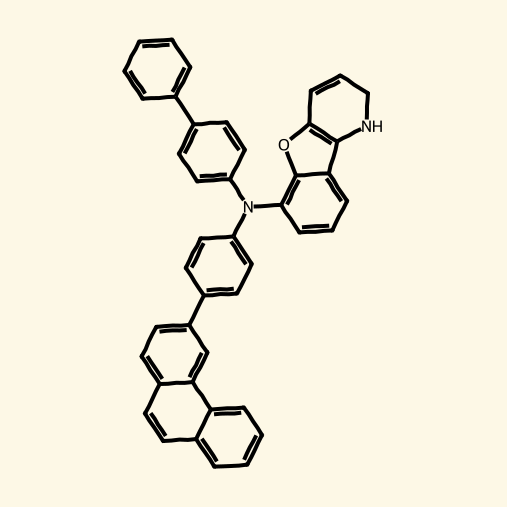 C1=Cc2oc3c(N(c4ccc(-c5ccccc5)cc4)c4ccc(-c5ccc6ccc7ccccc7c6c5)cc4)cccc3c2NC1